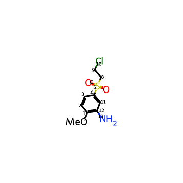 COc1ccc(S(=O)(=O)CCCl)cc1N